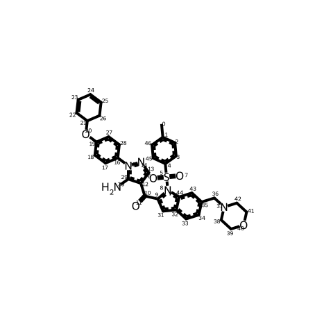 Cc1ccc(S(=O)(=O)n2c(C(=O)c3cnn(-c4ccc(OC5C=CC=CC5)cc4)c3N)cc3ccc(CN4CCOCC4)cc32)cc1